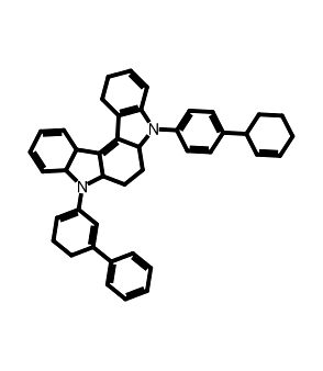 C1=CC2C3=C4C5=C(C=CCC5)N(c5ccc(C6C=CCCC6)cc5)C4CCC3N(C3=CCCC(c4ccccc4)=C3)C2C=C1